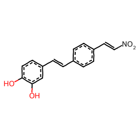 O=[N+]([O-])C=Cc1ccc(C=Cc2ccc(O)c(O)c2)cc1